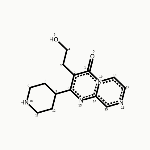 O=c1c(CCO)c(C2CCNCC2)nc2cnccn12